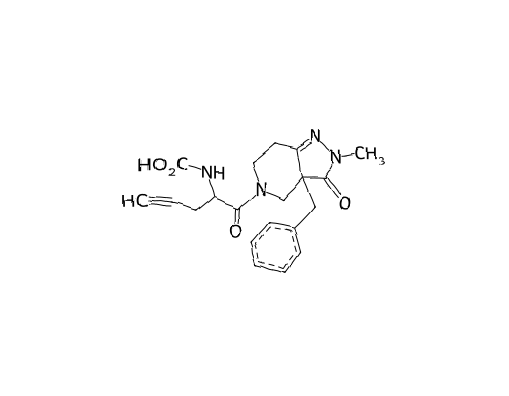 C#CCC(NC(=O)O)C(=O)N1CCC2=NN(C)C(=O)C2(Cc2ccccc2)C1